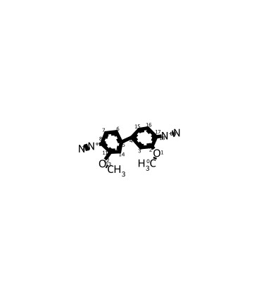 COc1cc(-c2ccc([N+]#N)c(OC)c2)ccc1[N+]#N